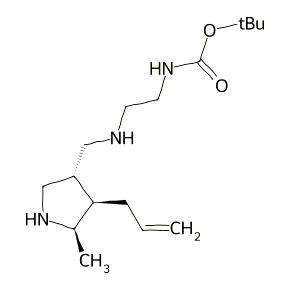 C=CC[C@@H]1[C@@H](CNCCNC(=O)OC(C)(C)C)CN[C@@H]1C